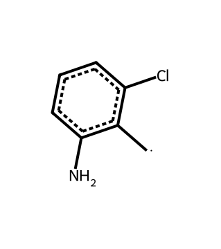 [CH2]c1c(N)cccc1Cl